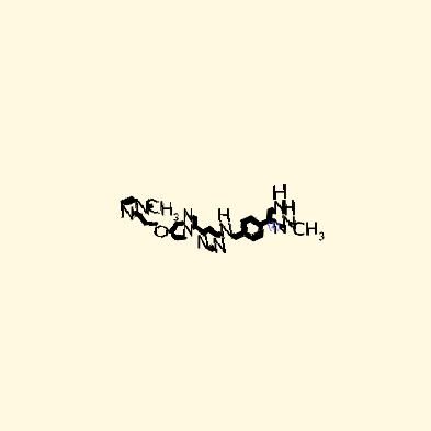 CN/N=C(\C=N)c1ccc(CNc2cc(-c3cnc4cc(OCCc5nccn5C)ccn34)ncn2)cc1